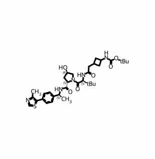 Cc1ncsc1-c1ccc([C@H](C)NC(=O)[C@@H]2C[C@@H](O)CN2C(=O)[C@@H](NC(=O)CC2CC(NC(=O)OC(C)(C)C)C2)C(C)(C)C)cc1